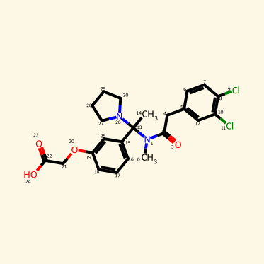 CN(C(=O)Cc1ccc(Cl)c(Cl)c1)C(C)(c1cccc(OCC(=O)O)c1)N1CCCC1